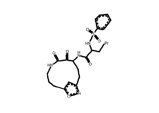 CC(C)CC(NS(=O)(=O)c1ccccc1)C(=O)NC1CCc2cc(on2)CCCNC(=O)C1=O